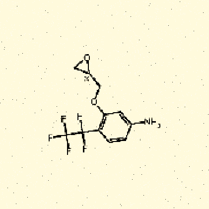 Nc1ccc(C(F)(F)C(F)(F)F)c(OC[C@H]2CO2)c1